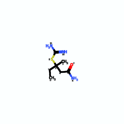 CCC(C)(CC(N)=O)SC(=N)N